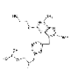 COc1nc2c(N)nc(OCCO)nc2n1Cc1cccc(CC(C)COP(O)O)c1